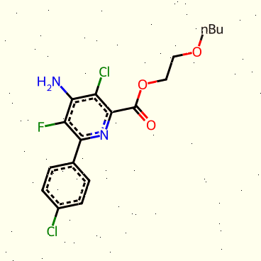 CCCCOCCOC(=O)c1nc(-c2ccc(Cl)cc2)c(F)c(N)c1Cl